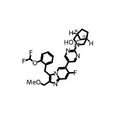 COCc1nc2cc(F)c(-c3cnc(N4C[C@H]5CC[C@@H](C4)C5C(=O)O)nc3)cn2c1Cc1ccccc1OC(F)F